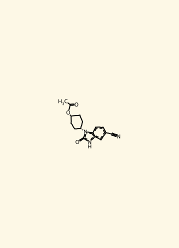 CC(=O)O[C@H]1CC[C@H](n2c(=O)[nH]c3cc(C#N)ccc32)CC1